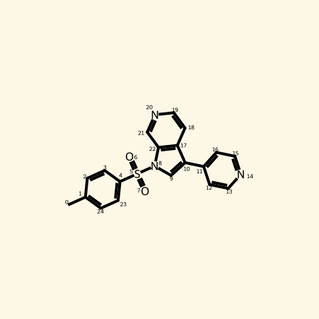 Cc1ccc(S(=O)(=O)n2cc(-c3ccncc3)c3ccncc32)cc1